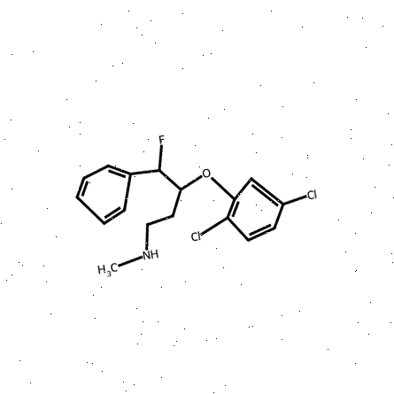 CNCCC(Oc1cc(Cl)ccc1Cl)C(F)c1ccccc1